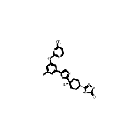 Cc1cc(Nc2nccc(C(F)(F)F)n2)cc(-c2cnc([C@]3(O)CC[C@H](c4noc(=O)[nH]4)CC3)s2)c1